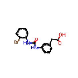 O=C(O)Cc1cccc(NC(=O)Nc2ccccc2Br)c1